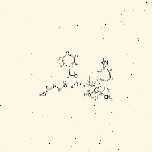 CC1(C)Oc2ccc(C#N)cc2[C@@H](NC=C(COCC=C=O)OCc2ccccc2)[C@@H]1O